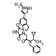 C[C@H](C1CC1)N(Cc1ccccc1)C(=O)CN1C(=O)NC(=O)[C@@]12CCc1cc(C3=CN(C)NC3)ccc12